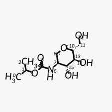 CC(C)OC(=O)N[C@H]1[CH]O[C@H](CO)[C@@H](O)[C@@H]1O